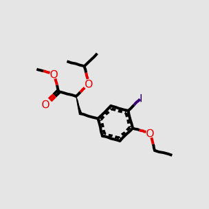 CCOc1ccc(C[C@H](OC(C)C)C(=O)OC)cc1I